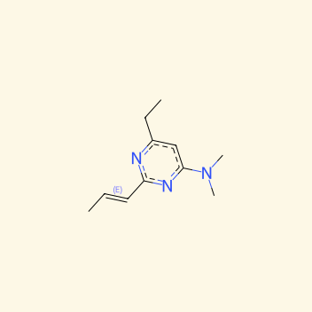 C/C=C/c1nc(CC)cc(N(C)C)n1